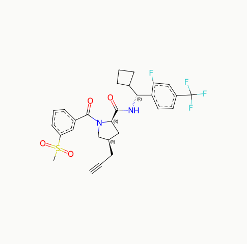 C#CC[C@@H]1C[C@H](C(=O)N[C@@H](c2ccc(C(F)(F)F)cc2F)C2CCC2)N(C(=O)c2cccc(S(C)(=O)=O)c2)C1